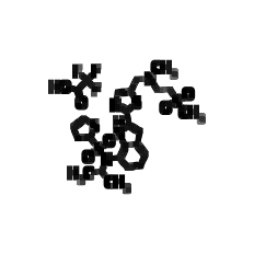 CC(C)N(c1cccc2cc(-c3ncc(CN(C)CCS(C)(=O)=O)s3)[nH]c12)S(=O)(=O)c1cccs1.O=C(O)C(F)(F)F